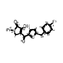 CC(C)N1CC(C(=O)c2ccc(Cc3ccc(F)cc3)o2)=C(O)C1=O